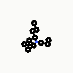 c1ccc(-c2cccc3c(-c4ccc(N(c5ccc(-c6cccc7ccccc67)cc5)c5ccc6c(c5)C(c5ccccc5)(c5ccccc5)c5ccccc5-6)cc4)cccc23)cc1